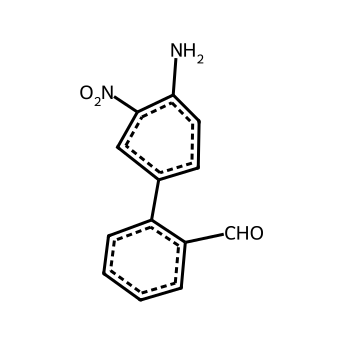 Nc1ccc(-c2ccccc2C=O)cc1[N+](=O)[O-]